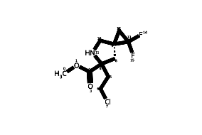 COC(=O)C1(CCCl)C[C@]2(CN1)CC2(F)F